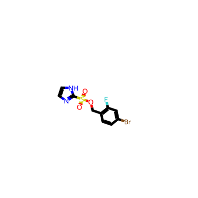 O=S(=O)(OCc1ccc(Br)cc1F)c1ncc[nH]1